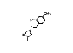 COc1ccc(COC2=CNNC2)c(Br)c1